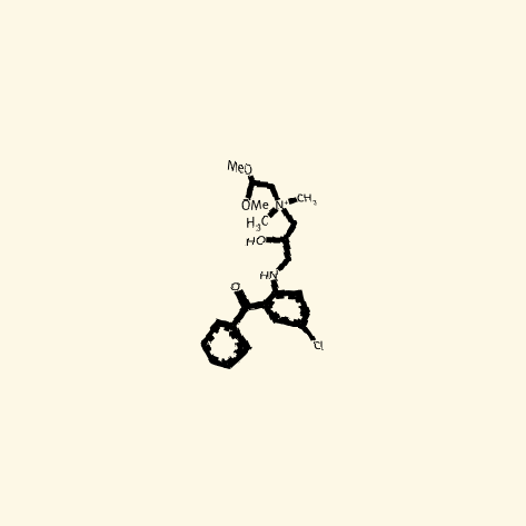 COC(C[N+](C)(C)CC(O)CNc1ccc(Cl)cc1C(=O)c1ccccc1)OC